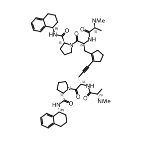 CN[C@@H](C)C(=O)N[C@@H](CC#CC1=C(C[C@H](NC(=O)[C@H](C)NC)C(=O)N2CCC[C@H]2C(=O)N[C@@H]2CCCc3ccccc32)CCC1)C(=O)N1CCC[C@H]1C(=O)N[C@@H]1CCCc2ccccc21